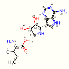 CCC(C)[C@H](N)C(=O)OC[C@H]1N[C@@H](c2c[nH]c3c(N)ncnc23)[C@H](O)[C@@H]1O